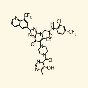 CCc1c(N2CCN(C(=O)c3ncnc(C)c3O)CC2)c(=O)n2nc(-c3cc(C(F)(F)F)c4ncccc4c3)nc2n1CC(=O)Nc1ccc(C(F)(F)F)cc1Cl